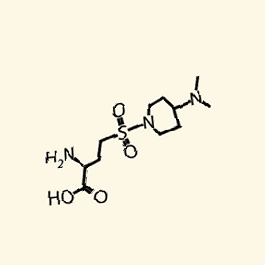 CN(C)C1CCN(S(=O)(=O)CC[C@H](N)C(=O)O)CC1